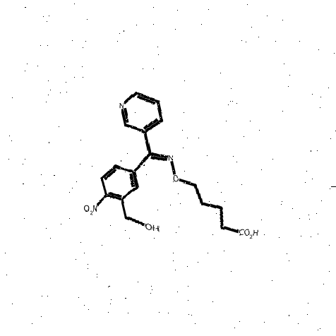 O=C(O)CCCCON=C(c1cccnc1)c1ccc([N+](=O)[O-])c(CO)c1